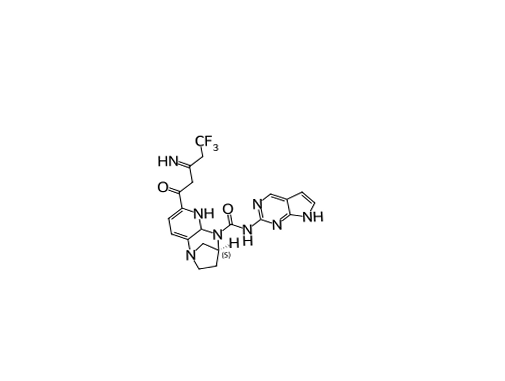 N=C(CC(=O)C1=CC=C2C(N1)N(C(=O)Nc1ncc3cc[nH]c3n1)[C@H]1CCN2C1)CC(F)(F)F